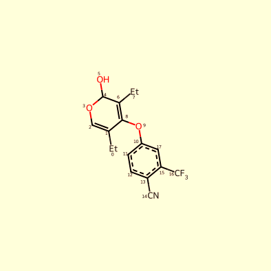 CCC1=COC(O)C(CC)=C1Oc1ccc(C#N)c(C(F)(F)F)c1